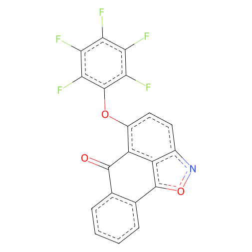 O=C1c2ccccc2-c2onc3ccc(Oc4c(F)c(F)c(F)c(F)c4F)c1c23